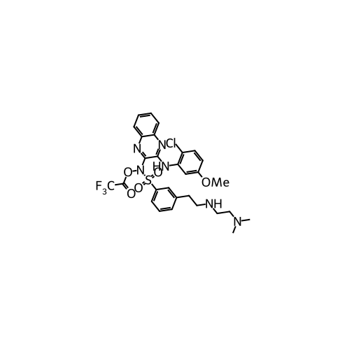 COc1ccc(Cl)c(Nc2nc3ccccc3nc2N(OC(=O)C(F)(F)F)S(=O)(=O)c2cccc(CCNCCN(C)C)c2)c1